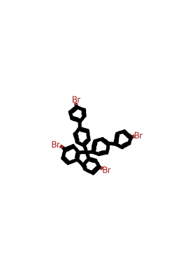 Brc1ccc(-c2ccc(C3(c4ccc(-c5ccc(Br)cc5)cc4)c4cc(Br)ccc4-c4ccc(Br)cc43)cc2)cc1